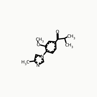 COc1cc(C(=O)C(C)C)ccc1-n1cnc(C)c1